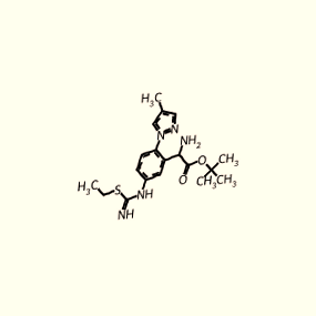 CCSC(=N)Nc1ccc(-n2cc(C)cn2)c(C(N)C(=O)OC(C)(C)C)c1